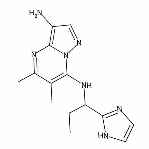 CCC(Nc1c(C)c(C)nc2c(N)cnn12)c1ncc[nH]1